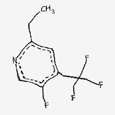 CCc1cc(C(F)(F)F)c(F)cn1